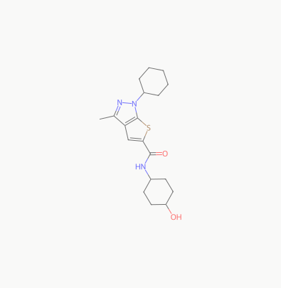 Cc1nn(C2CCCCC2)c2sc(C(=O)NC3CCC(O)CC3)cc12